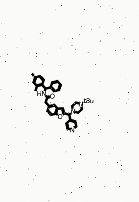 Cc1ccc(C(NC(=O)Cc2ccc3oc(C(c4ccncc4)N4CCN(C(C)(C)C)CC4)cc3c2)c2ccccc2)c(C)c1